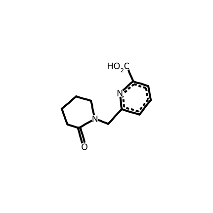 O=C(O)c1cccc(CN2CCCCC2=O)n1